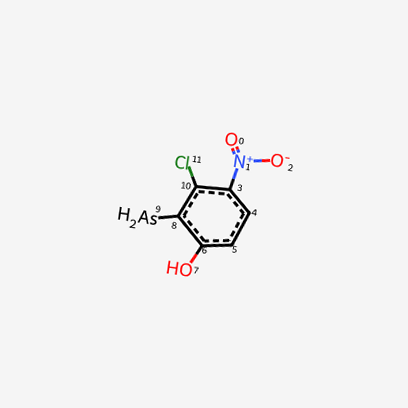 O=[N+]([O-])c1ccc(O)c([AsH2])c1Cl